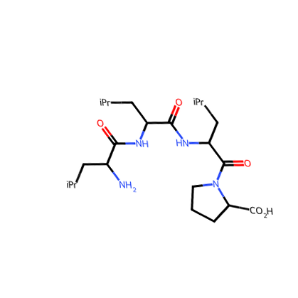 CC(C)CC(N)C(=O)NC(CC(C)C)C(=O)NC(CC(C)C)C(=O)N1CCCC1C(=O)O